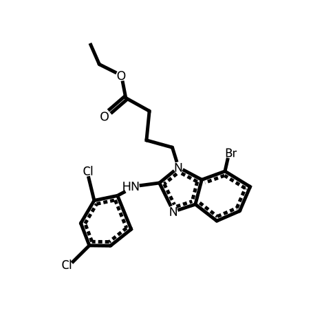 CCOC(=O)CCCn1c(Nc2ccc(Cl)cc2Cl)nc2cccc(Br)c21